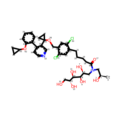 CC[C@@H](O)CN(C[C@H](O)[C@@H](O)[C@H](O)[C@H](O)CO)C(=O)CCCCc1cc(Cl)c(COC2(c3cnccc3-c3ccccc3OC3CC3)CC2)cc1Cl